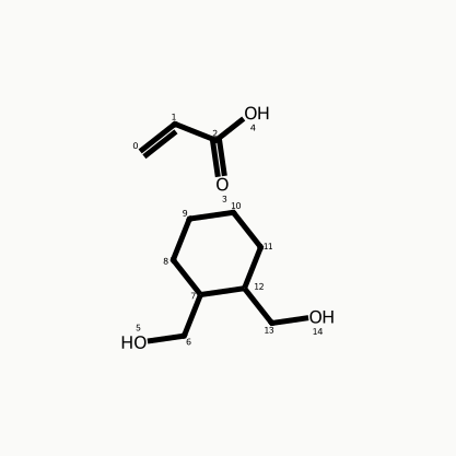 C=CC(=O)O.OCC1CCCCC1CO